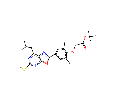 CSc1nc(CC(C)C)c2nc(-c3cc(C)c(OCC(=O)OC(C)(C)C)c(C)c3)oc2n1